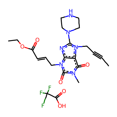 CC#CCn1c(N2CCNCC2)nc2c1c(=O)n(C)c(=O)n2C/C=C/C(=O)OCC.O=C(O)C(F)(F)F